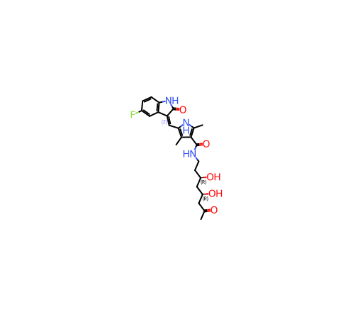 CC(=O)C[C@H](O)C[C@H](O)CCNC(=O)c1c(C)[nH]c(/C=C2\C(=O)Nc3ccc(F)cc32)c1C